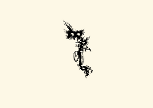 CCOC(=O)c1ccc(C=CC(=O)NCC(=O)N(C)c2ccc(C)c(COc3cccc4c(C)cc(C)nc34)c2C)cn1